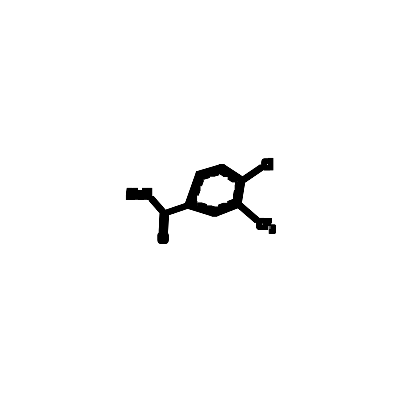 CNC(=O)c1ccc(Cl)c(C(F)(F)F)c1